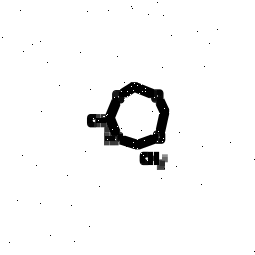 [CH2].[CH2].[CH]1OCOCOCP1